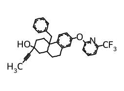 CC#CC1(O)CCC2(Cc3ccccc3)c3ccc(Oc4cccc(C(F)(F)F)n4)cc3CCC2C1